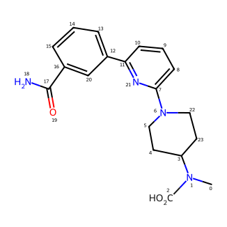 CN(C(=O)O)C1CCN(c2cccc(-c3cccc(C(N)=O)c3)n2)CC1